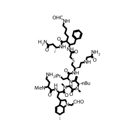 C=C(NC(CC(C)C)C(=O)N[C@H](CCNCC(N)=O)CSCC(=O)NC(Cc1ccccc1)C(CCCCNC=O)C(=O)N[C@H](C)CC(N)=O)[C@H](CCCC)N(C)C(=O)CN(C)C(=O)C(CC1CN(CC=O)C2C[C@H](C)C=CC12)NC(=O)C(CCN)NC